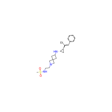 CC/C(=C\c1ccccc1)[C@H]1C[C@@H]1NC1CC2(C1)CN(CCNS(C)(=O)=O)C2